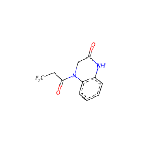 O=C1CN(C(=O)CC(F)(F)F)c2ccccc2N1